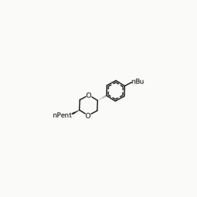 CCCCC[C@H]1CO[C@H](c2ccc(CCCC)cc2)CO1